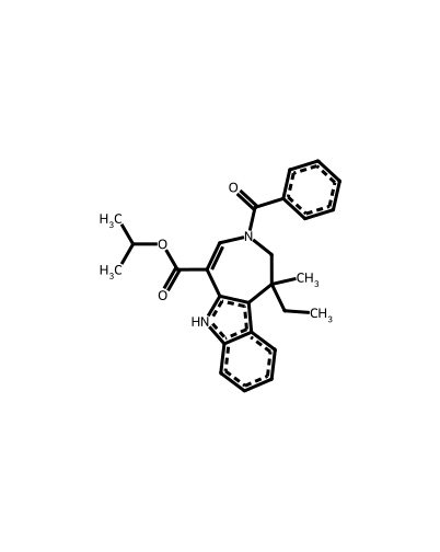 CCC1(C)CN(C(=O)c2ccccc2)C=C(C(=O)OC(C)C)c2[nH]c3ccccc3c21